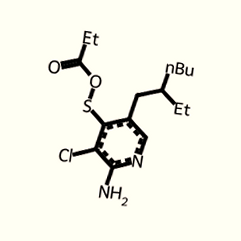 CCCCC(CC)Cc1cnc(N)c(Cl)c1SOC(=O)CC